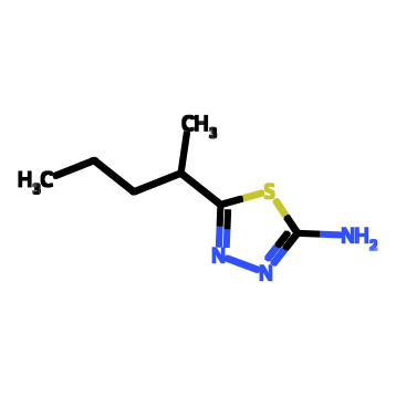 CCCC(C)c1nnc(N)s1